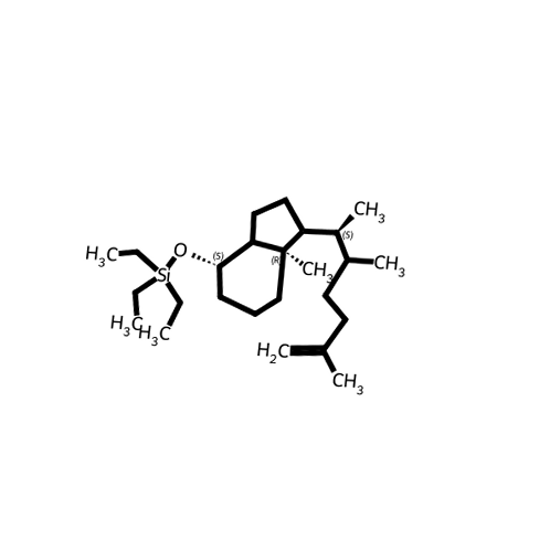 C=C(C)CCC(C)[C@H](C)C1CCC2[C@@H](O[Si](CC)(CC)CC)CCC[C@]12C